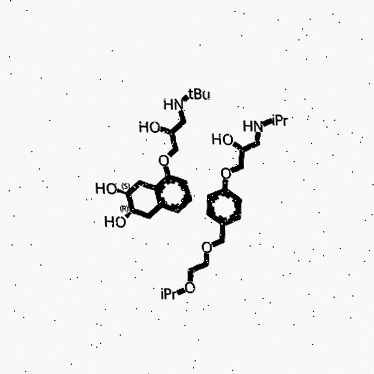 CC(C)(C)NCC(O)COc1cccc2c1C[C@H](O)[C@H](O)C2.CC(C)NCC(O)COc1ccc(COCCOC(C)C)cc1